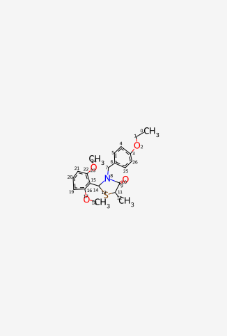 CCOc1ccc(CN2C(=O)C(C)SC2c2c(OC)cccc2OC)cc1